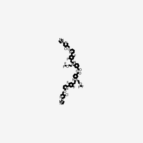 O=C(OC(=O)c1ccc2nc(Cc3cc(F)c(-c4cccc(OCc5cnc(-n6ccnn6)cc5Cl)n4)cc3F)n(CCOC(F)F)c2c1)c1ccc2nc(Cc3cc(F)c(-c4cccc(OCc5cnc(-n6ccnn6)cc5Cl)n4)cc3F)n(CCOC(F)F)c2c1